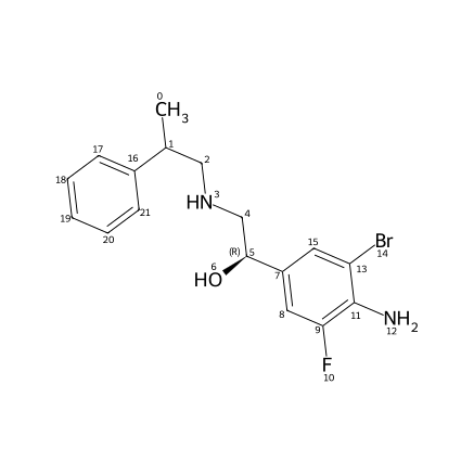 CC(CNC[C@H](O)c1cc(F)c(N)c(Br)c1)c1ccccc1